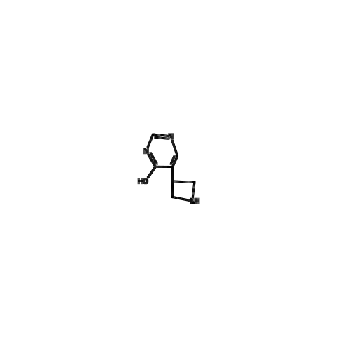 Oc1ncncc1C1CNC1